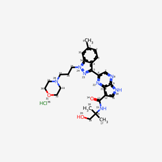 Cc1ccc2c(-c3cnc4[nH]cc(C(=O)NC(C)(C)CO)c4n3)nn(CCCN3CCOCC3)c2c1.Cl